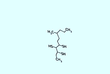 CCCC(C)CCC(S)C(S)C(S)CC